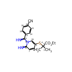 CCOC(=O)C(C)(C)Sc1ccc(=N)n(C(=N)c2ccc(C#N)cc2)c1